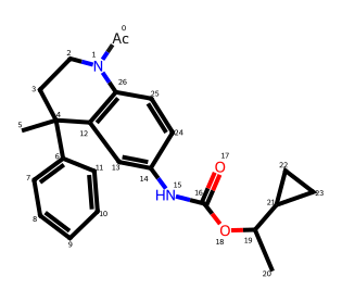 CC(=O)N1CCC(C)(c2ccccc2)c2cc(NC(=O)OC(C)C3CC3)ccc21